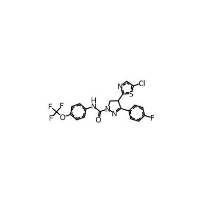 O=C(Nc1ccc(OC(F)(F)F)cc1)N1CC(c2ncc(Cl)s2)C(c2ccc(F)cc2)=N1